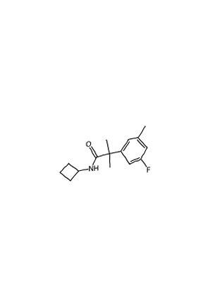 Cc1cc(F)cc(C(C)(C)C(=O)NC2CCC2)c1